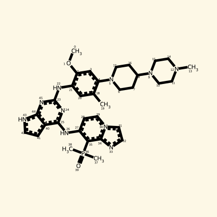 COc1cc(N2CCC(N3CCN(C)CC3)CC2)c(C)cc1Nc1nc(Nc2ccn3ccnc3c2P(C)(C)=O)c2cc[nH]c2n1